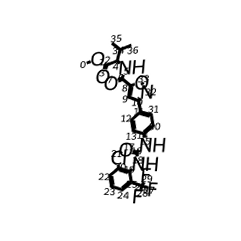 COC(=O)C(NC(=O)c1cc(-c2ccc(NC(=O)Nc3c(Cl)cccc3C(F)(F)F)cc2)no1)C(C)C